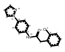 O=C(Cc1ccccc1Cl)Nc1ccc(-n2cccn2)cc1